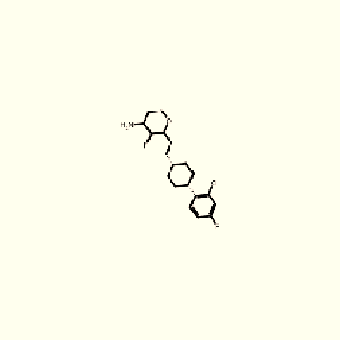 NC1CCOC(CC[C@H]2CC[C@@H](c3ccc(F)cc3Cl)CC2)C1F